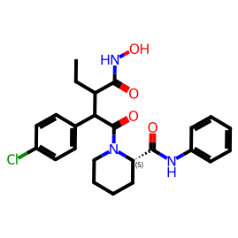 CCC(C(=O)NO)C(C(=O)N1CCCC[C@H]1C(=O)Nc1ccccc1)c1ccc(Cl)cc1